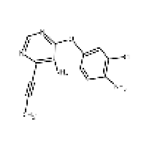 [CH2]C#Cc1ncnc(Oc2ccc(N)c(Cl)c2)c1N